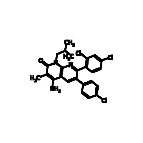 Cc1c(N)c2cc(-c3ccc(Cl)cc3)c(-c3ccc(Cl)cc3Cl)nc2n(CC(C)C)c1=O